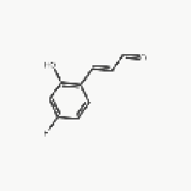 O=C/C=C/c1ccc(F)cc1O